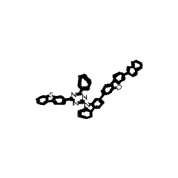 c1ccc(-c2nc(-c3ccc4c(c3)sc3ccccc34)nc(-n3c4ccccc4c4ccc(-c5ccc6c(c5)oc5cc(-c7ccc8ccccc8c7)ccc56)cc43)n2)cc1